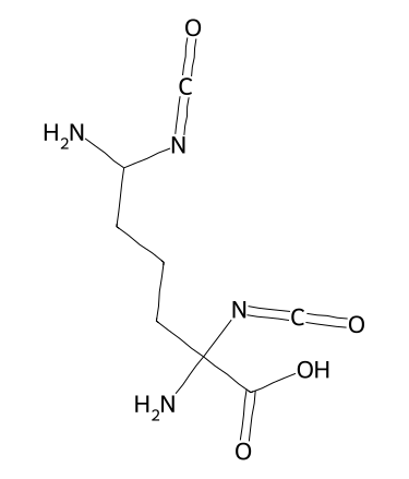 NC(CCCC(N)(N=C=O)C(=O)O)N=C=O